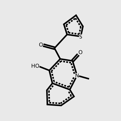 Cn1c(=O)c(C(=O)c2cccs2)c(O)c2ccccc21